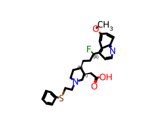 COc1ccc2nccc([C@H](F)CC[C@@H]3CCN(CCSc4ccccc4)C[C@@H]3CC(=O)O)c2c1